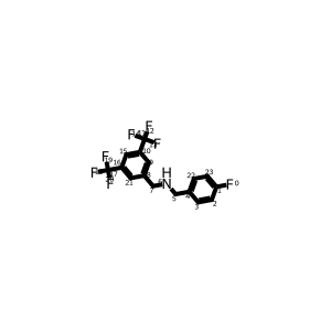 Fc1ccc(CNCc2cc(C(F)(F)F)cc(C(F)(F)F)c2)cc1